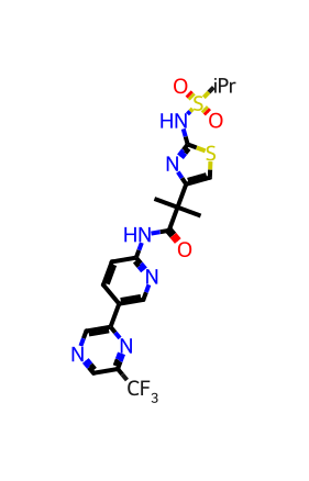 CC(C)S(=O)(=O)Nc1nc(C(C)(C)C(=O)Nc2ccc(-c3cncc(C(F)(F)F)n3)cn2)cs1